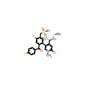 CCS(=O)(=O)Cc1cc(-c2cn(C)c(=O)cc2[C@H](C)NSC(C)(C)C)c(C(=O)c2ccc(F)cc2)cc1F